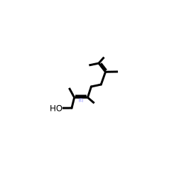 CC(C)=C(C)CC/C(C)=C(\C)CO